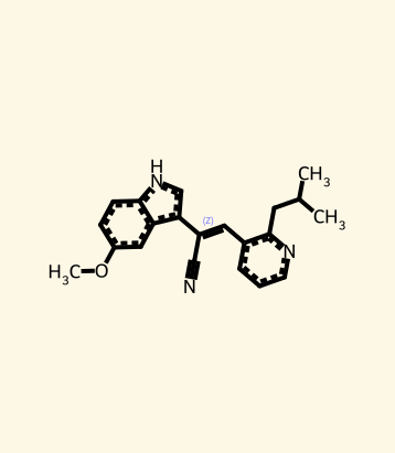 COc1ccc2[nH]cc(/C(C#N)=C/c3cccnc3CC(C)C)c2c1